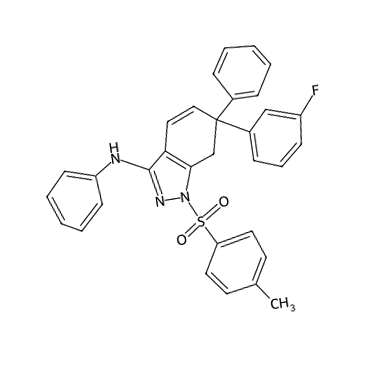 Cc1ccc(S(=O)(=O)n2nc(Nc3ccccc3)c3c2CC(c2ccccc2)(c2cccc(F)c2)C=C3)cc1